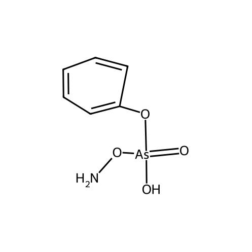 NO[As](=O)(O)Oc1ccccc1